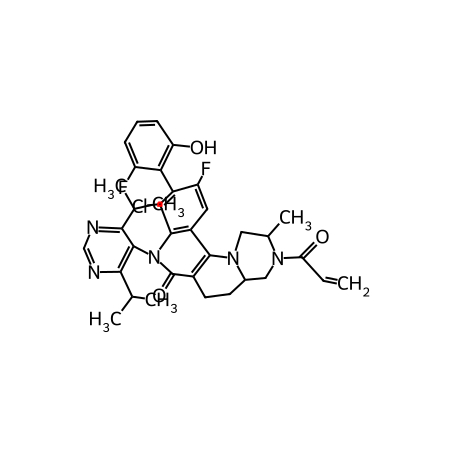 C=CC(=O)N1CC2CCc3c(c4cc(F)c(-c5c(O)cccc5F)c(Cl)c4n(-c4c(C(C)C)ncnc4C(C)C)c3=O)N2CC1C